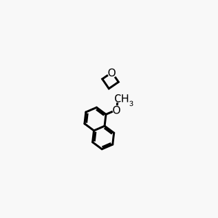 C1COC1.COc1cccc2ccccc12